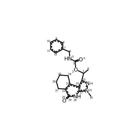 CC(OC(=O)NCc1ccccc1)c1nn(C)c2[nH]c(=O)c3c(c12)CCCC3